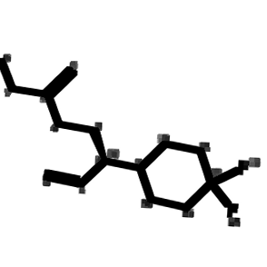 C=C[C@@H](CCC(=C)CC)C1CCC(F)(F)CC1